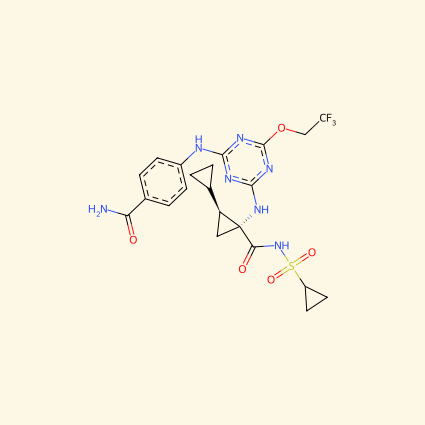 NC(=O)c1ccc(Nc2nc(N[C@]3(C(=O)NS(=O)(=O)C4CC4)C[C@H]3C3CC3)nc(OCC(F)(F)F)n2)cc1